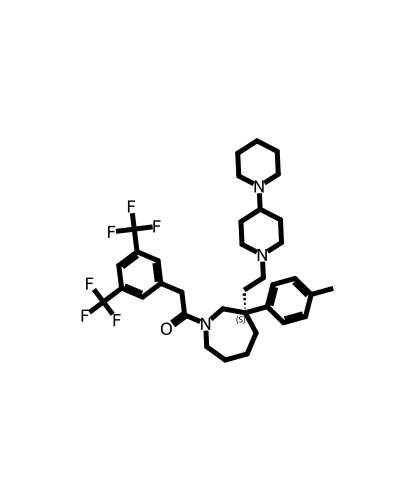 Cc1ccc([C@@]2(CCN3CCC(N4CCCCC4)CC3)CCCCN(C(=O)Cc3cc(C(F)(F)F)cc(C(F)(F)F)c3)C2)cc1